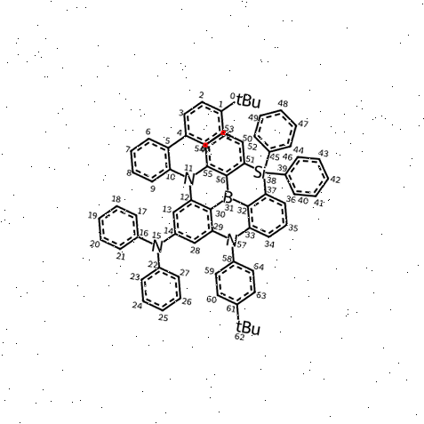 CC(C)(C)c1ccc(-c2ccccc2N2c3cc(N(c4ccccc4)c4ccccc4)cc4c3B3c5c(cccc5[Si](c5ccccc5)(c5ccccc5)c5cccc2c53)N4c2ccc(C(C)(C)C)cc2)cc1